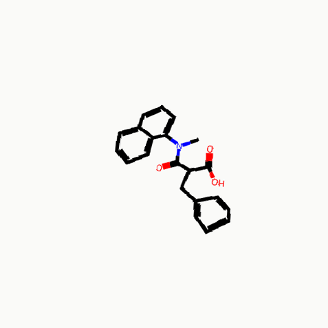 CN(C(=O)C(Cc1ccccc1)C(=O)O)c1cccc2ccccc12